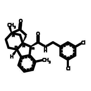 Cc1cccc2c1[C@H](C(=O)NCc1cc(Cl)cc(Cl)c1)[C@@]13CC(=O)[C@@](C)(CC[C@@H]21)C3